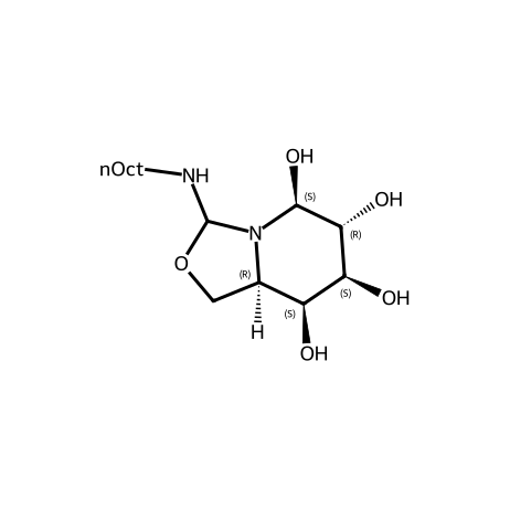 CCCCCCCCNC1OC[C@@H]2[C@H](O)[C@H](O)[C@@H](O)[C@H](O)N12